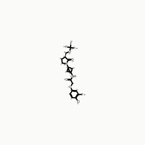 O=C(COc1ccc(Cl)c(F)c1)NC12CC(N3CC[C@@H](COC(F)(F)F)C3=O)(C1)C2